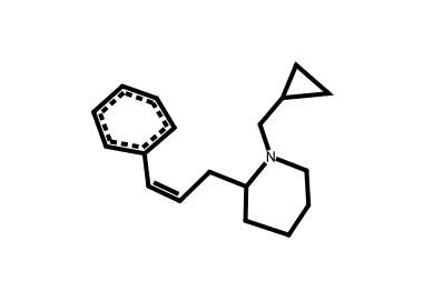 C(=C/c1ccccc1)/CC1CCCCN1CC1CC1